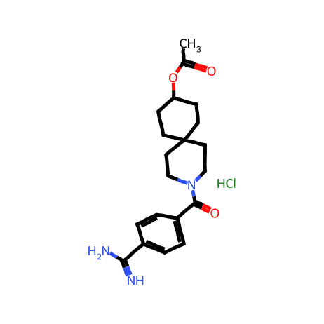 CC(=O)OC1CCC2(CC1)CCN(C(=O)c1ccc(C(=N)N)cc1)CC2.Cl